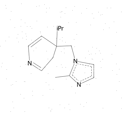 Cc1nccn1CC1(C(C)C)C=CN=CC1